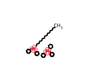 CCCCCCCCCCCCCCCCOP(=O)(Oc1ccccc1)Oc1ccccc1.O=P(Oc1ccccc1)(Oc1ccccc1)OC1CCCCC1